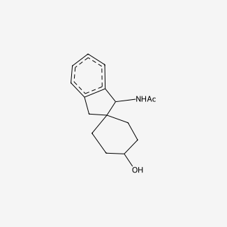 CC(=O)NC1c2ccccc2CC12CCC(O)CC2